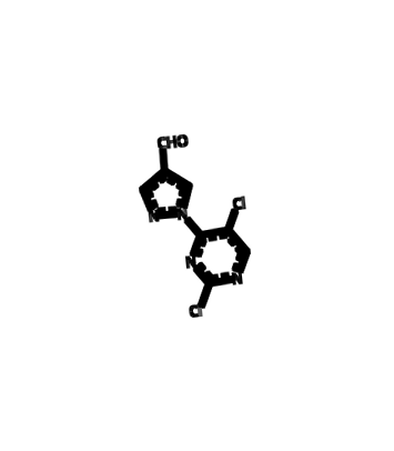 O=Cc1cnn(-c2nc(Cl)ncc2Cl)c1